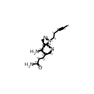 CC#CCCn1ncc2c(N)c(CCC(N)=O)cnc21